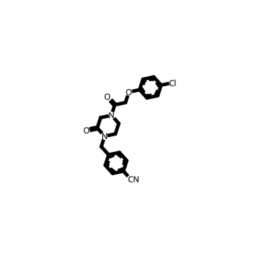 N#Cc1ccc(CN2CCN(C(=O)COc3ccc(Cl)cc3)CC2=O)cc1